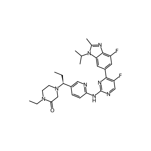 CC[C@@H](c1ccc(Nc2ncc(F)c(-c3cc(F)c4nc(C)n(C(C)C)c4c3)n2)nc1)N1CCN(CC)C(=O)C1